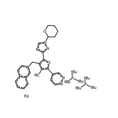 CC(C)(C)P(C(C)(C)C)C(C)(C)C.CC(C)(C)P(C(C)(C)C)C(C)(C)C.N#Cc1c(-c2ccnnc2)sc(-c2ncn(C3CCCCO3)n2)c1Cc1ccc2ccccc2c1.[Pd]